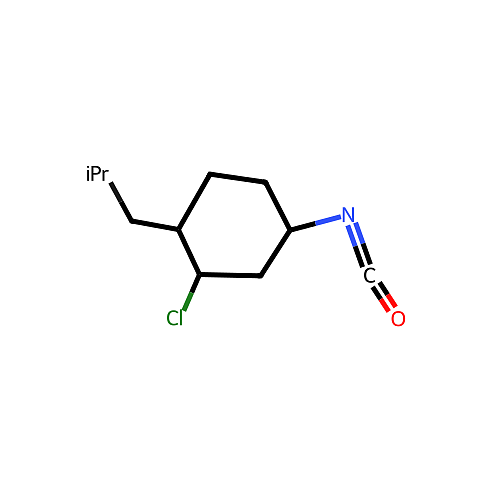 CC(C)CC1CCC(N=C=O)CC1Cl